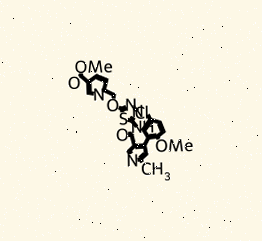 COC(=O)c1ccc(COc2nnc(NC(=O)c3cnc(C)cc3-c3cc(Cl)ccc3OC)s2)nc1